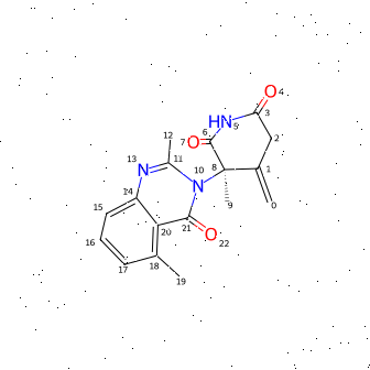 C=C1CC(=O)NC(=O)[C@]1(C)n1c(C)nc2cccc(C)c2c1=O